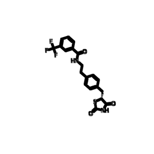 O=C1NC(=O)[C@@H](Cc2ccc(CCNC(=O)c3cccc(C(F)(F)F)c3)cc2)S1